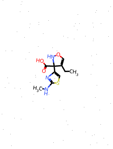 CCC1=CONC1(C(=O)O)c1csc(NC)n1